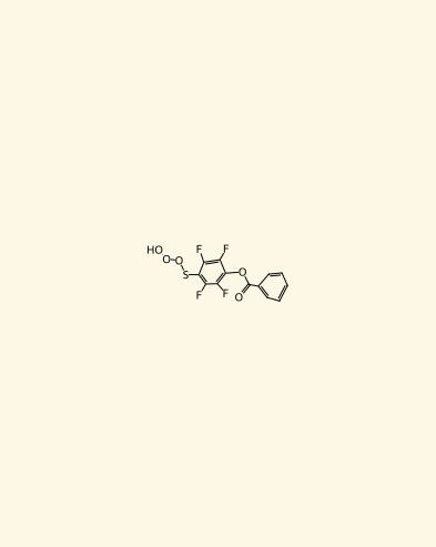 O=C(Oc1c(F)c(F)c(SOOO)c(F)c1F)c1ccccc1